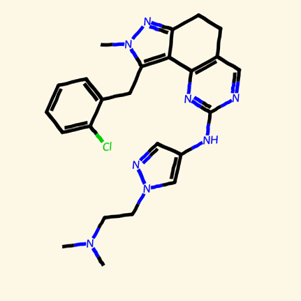 CN(C)CCn1cc(Nc2ncc3c(n2)-c2c(nn(C)c2Cc2ccccc2Cl)CC3)cn1